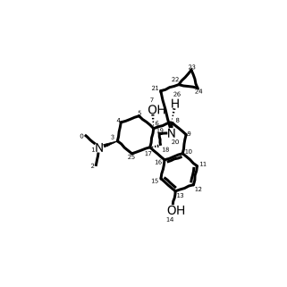 CN(C)[C@H]1CC[C@@]2(O)[C@H]3Cc4ccc(O)cc4[C@@]2(CCN3CC2CC2)C1